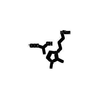 CC(O)C(=O)[O-].CCCCCCCCCCCC[n+]1ccn(C)c1C